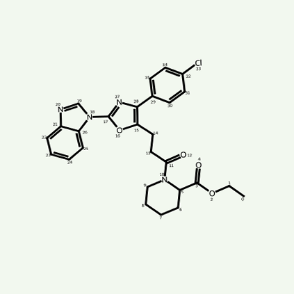 CCOC(=O)C1CCCCN1C(=O)CCc1oc(-n2cnc3ccccc32)nc1-c1ccc(Cl)cc1